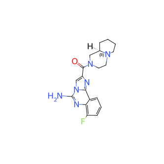 Nc1nc2c(F)cccc2c2nc(C(=O)N3CCN4CCCC[C@@H]4C3)cn12